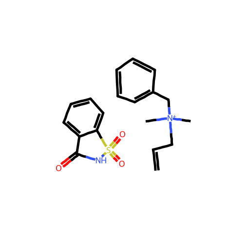 C=CC[N+](C)(C)Cc1ccccc1.O=C1NS(=O)(=O)c2ccccc21